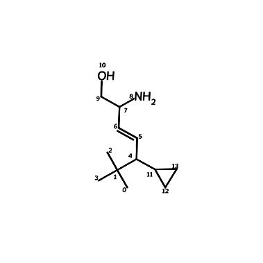 CC(C)(C)C(/C=C/C(N)CO)C1CC1